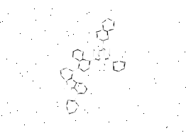 c1ccc(-c2nc(-c3ccc4ccccc4c3)nc(-c3ccc(-c4cccc5oc6c(-c7ccccc7)cccc6c45)c4ccccc34)n2)cc1